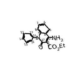 CCOC(=O)c1c(N)c2ccccc2n(-c2ccccc2)c1=O